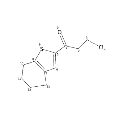 O=C(CCCl)c1cc2c(s1)CCCC2